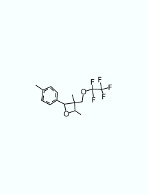 Cc1ccc(C2OC(C)C2(C)COC(F)(F)C(F)(F)F)cc1